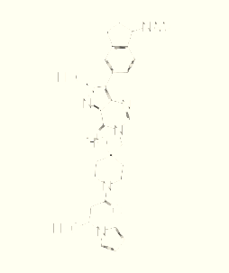 CNC1CCc2cc(-c3c4ncn(CC5(O)CCN(C(=O)CC(C)n6cccc6)CC5)c(=O)c4nn3C)ccc21